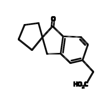 O=C(O)Cc1ccc2c(c1)CC1(CCCC1)C2=O